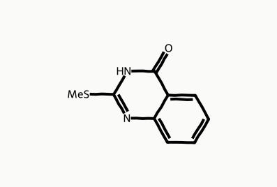 CSc1nc2ccccc2c(=O)[nH]1